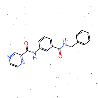 O=C(NCc1ccccc1)c1cccc(NC(=O)c2cnccn2)c1